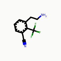 N#Cc1cccc(CCN)c1C(F)(F)F